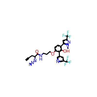 C#CCC(N=[N+]=[N-])C(=O)NCCCOc1ccc(-c2cc(C(F)(F)F)nn2C)c(O)c1-c1cncc(C(F)(F)F)c1